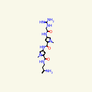 C=C(N)CCNC(=O)c1cc(NC(=O)c2cc(NC(=O)CNC(=N)N)cn2C)cn1C